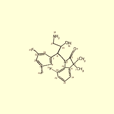 CC1(C)C(=O)N(C(c2cc(F)cc(F)c2)C(O)CN)c2c(F)cccc21